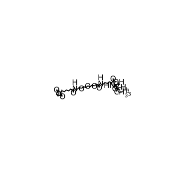 CC(C)(C)OC(=O)NC(CCCCNC(=O)COCCOCCOCCNC(=O)CCCCCN1C(=O)C=CC1=O)C(=O)O